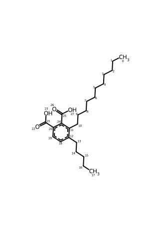 CCCCCCCCCCCc1c(CCCCC)ccc(C(=O)O)c1C(=O)O